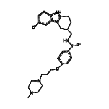 CN1CCN(CCCOc2ccc([S+]([O-])NCC3CCc4[nH]c5ccc(Cl)cc5c4C3)cc2)CC1